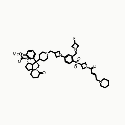 COC(=O)N[C@H]1CCC[C@@H]1[C@](CN1CCCCC1=O)(c1cccc(F)c1)C1CCN(CC2CN(c3ccc(S(=O)(=O)C4CN(C(=O)/C=C/CN5CCCCC5)C4)c(CN4CC(F)C4)c3)C2)CC1